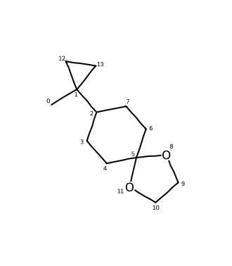 CC1(C2CCC3(CC2)OCCO3)CC1